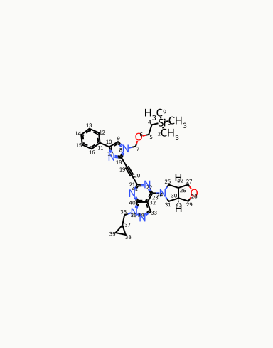 C[Si](C)(C)CCOCn1cc(-c2ccccc2)nc1C#Cc1nc(N2C[C@H]3COC[C@H]3C2)c2cnn(CC3CC3)c2n1